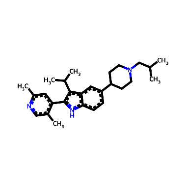 Cc1cc(-c2[nH]c3ccc(C4CCN(CC(C)C)CC4)cc3c2C(C)C)c(C)cn1